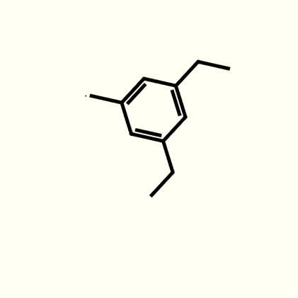 [CH2]c1cc(CC)cc(CC)c1